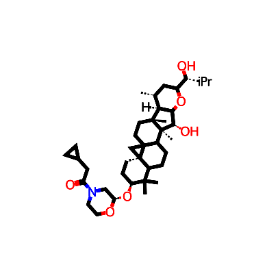 CC(C)[C@@H](O)C1C[C@@H](C)[C@H]2C(O1)[C@H](O)[C@@]1(C)C3CCC4C(C)(C)[C@@H](O[C@H]5CN(C(=O)CC6CC6)CCO5)CC[C@@]45CC35CC[C@]21C